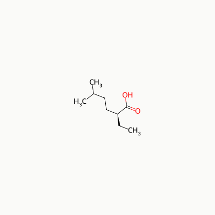 CC[C@@H](CCC(C)C)C(=O)O